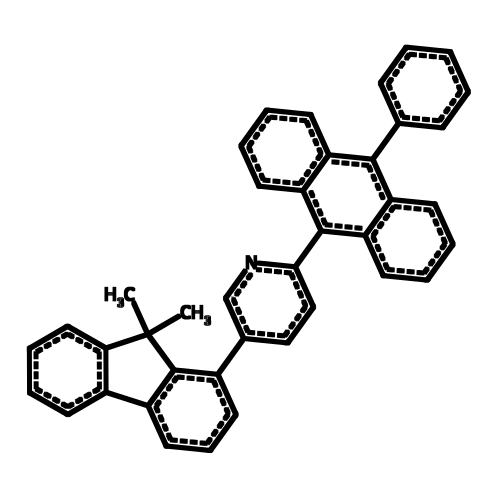 CC1(C)c2ccccc2-c2cccc(-c3ccc(-c4c5ccccc5c(-c5ccccc5)c5ccccc45)nc3)c21